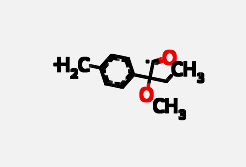 [CH2]c1ccc(C([C]=O)(CC)OC)cc1